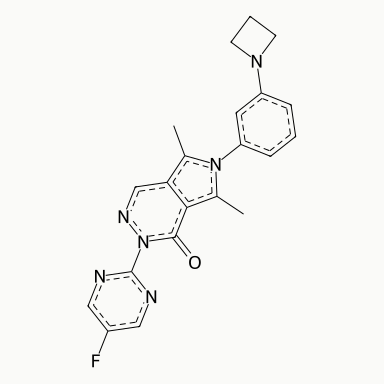 Cc1c2cnn(-c3ncc(F)cn3)c(=O)c2c(C)n1-c1cccc(N2CCC2)c1